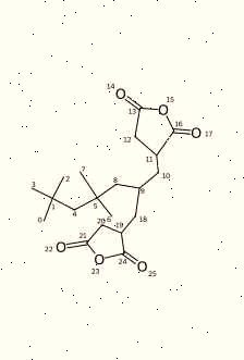 CC(C)(C)CC(C)(C)CC(CC1CC(=O)OC1=O)CC1CC(=O)OC1=O